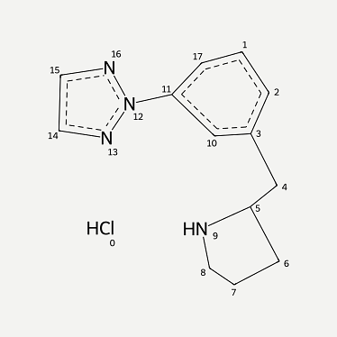 Cl.c1cc(CC2CCCN2)cc(-n2nccn2)c1